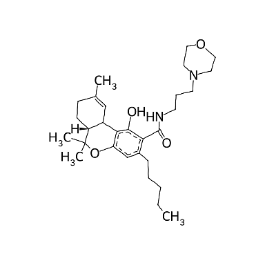 CCCCCc1cc2c(c(O)c1C(=O)NCCCN1CCOCC1)C1C=C(C)CC[C@H]1C(C)(C)O2